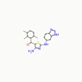 Cc1ccc(C)c(C(=O)c2sc(Nc3ccc4nc[nH]c4c3)nc2N)c1C